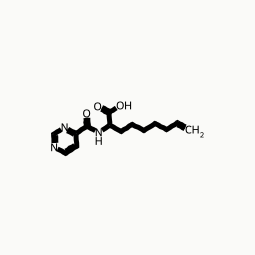 C=CCCCCCC(NC(=O)c1ccncn1)C(=O)O